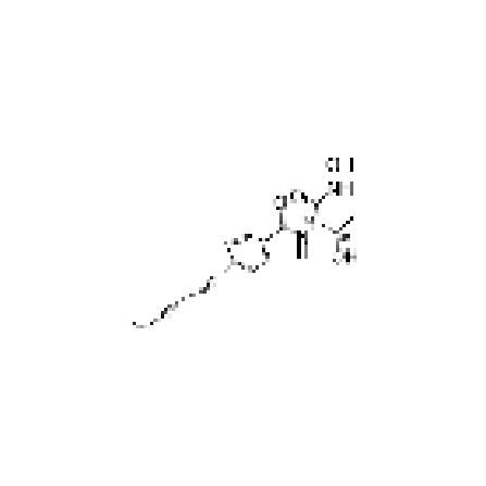 CCC#CC#Cc1ccc(C(=O)N[C@H](C(=O)NO)[C@@H](C)O)cc1